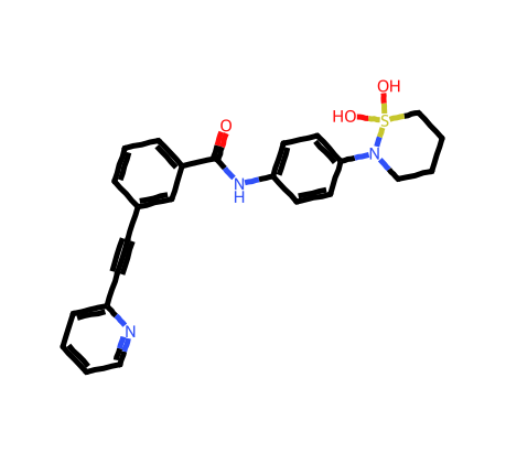 O=C(Nc1ccc(N2CCCCS2(O)O)cc1)c1cccc(C#Cc2ccccn2)c1